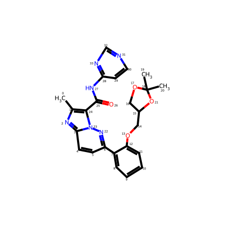 Cc1nc2ccc(-c3ccccc3OCC3COC(C)(C)O3)nn2c1C(=O)Nc1ccncn1